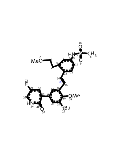 COCCc1cc(NS(C)(=O)=O)ccc1/C=C/c1cc(-c2cc(F)c[nH]c2=O)cc(C(C)(C)C)c1OC